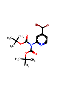 CC(C)(C)OC(=O)N(C(=O)OC(C)(C)C)c1cc(C(Br)Br)ccn1